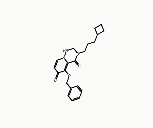 O=C1c2c(OCc3ccccc3)c(=O)ccn2NCN1CCCC1CCC1